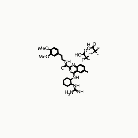 COc1ccc(CCNC(=O)c2nc(NC3CCCCC3NC(=N)N)c3cc(C)ccc3n2)cc1OC.O=C(O)C(F)(F)F.O=C(O)C(F)(F)F